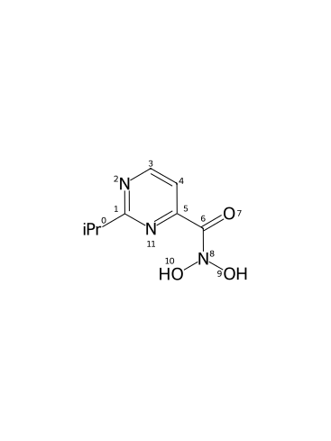 CC(C)c1nccc(C(=O)N(O)O)n1